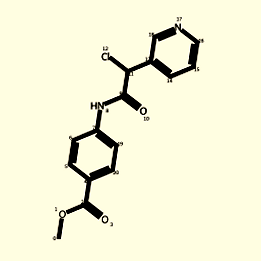 COC(=O)c1ccc(NC(=O)C(Cl)c2cccnc2)cc1